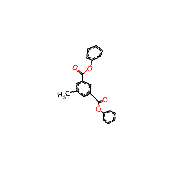 Cc1cc(C(=O)Oc2ccccc2)cc(C(=O)Oc2ccccc2)c1